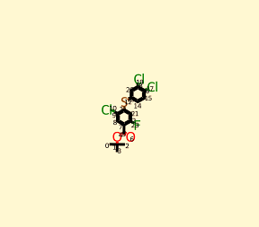 CC(C)(C)OC(=O)c1cc(Cl)c(Sc2ccc(Cl)c(Cl)c2)cc1F